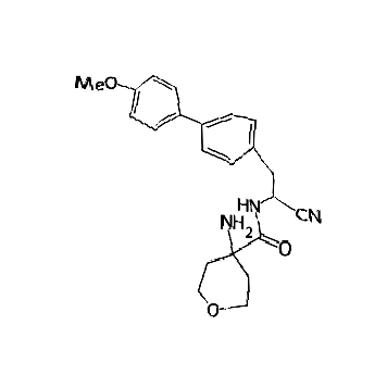 COc1ccc(-c2ccc(CC(C#N)NC(=O)C3(N)CCOCC3)cc2)cc1